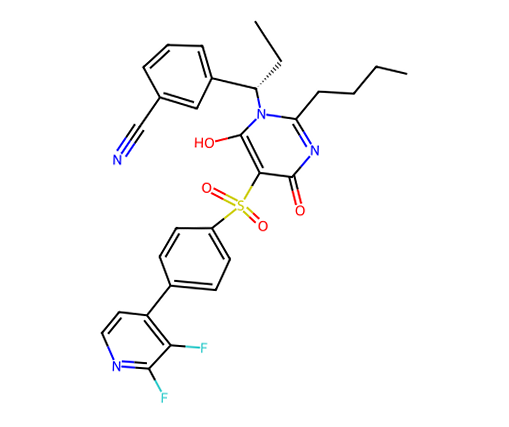 CCCCc1nc(=O)c(S(=O)(=O)c2ccc(-c3ccnc(F)c3F)cc2)c(O)n1[C@@H](CC)c1cccc(C#N)c1